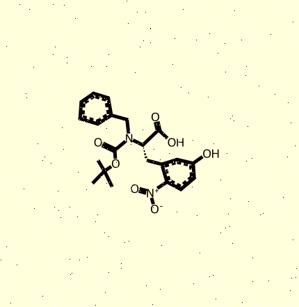 CC(C)(C)OC(=O)N(Cc1ccccc1)[C@@H](Cc1cc(O)ccc1[N+](=O)[O-])C(=O)O